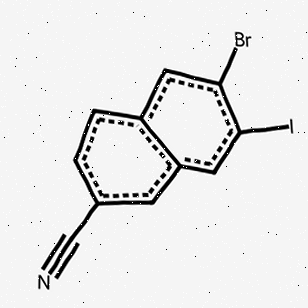 N#Cc1ccc2cc(Br)c(I)cc2c1